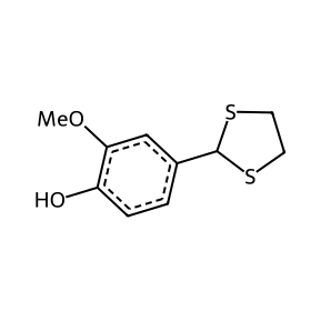 COc1cc(C2SCCS2)ccc1O